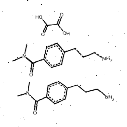 CN(C)C(=O)c1ccc(CCCN)cc1.CN(C)C(=O)c1ccc(CCCN)cc1.O=C(O)C(=O)O